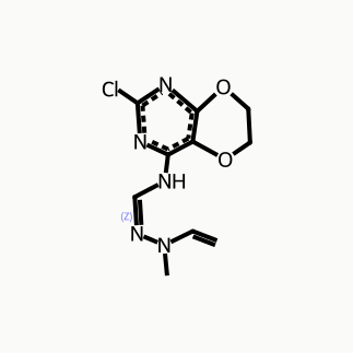 C=CN(C)/N=C\Nc1nc(Cl)nc2c1OCCO2